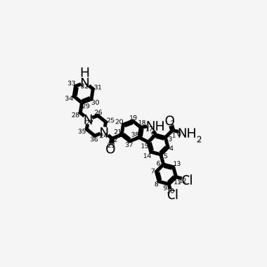 NC(=O)c1cc(-c2ccc(Cl)c(Cl)c2)cc2c1[nH]c1ccc(C(=O)N3CCN(CC4=CCNC=C4)CC3)cc12